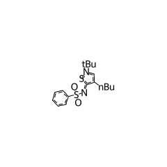 CCCCc1cn(C(C)(C)C)sc1=NS(=O)(=O)c1ccccc1